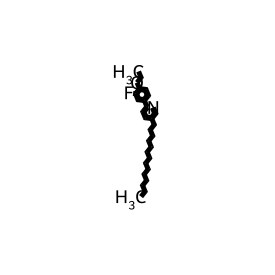 CCCCCCCCCCCCCCc1ccc(-c2ccc(OCC)c(F)c2)nc1